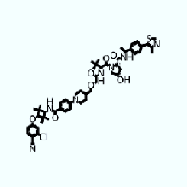 Cc1ncsc1-c1ccc(C(C)NC(=O)[C@@H]2C[C@@H](O)CN2C(=O)C(NC(=O)COCC2CCN(c3ccc(C(=O)N[C@H]4C(C)(C)[C@H](Oc5ccc(C#N)c(Cl)c5)C4(C)C)cc3)CC2)C(C)(C)C)cc1